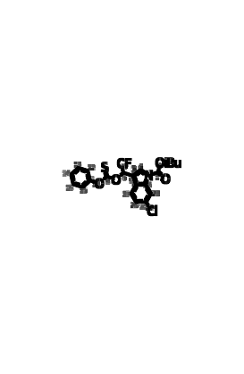 CC(C)COC(=O)n1cc(C(OC(=S)Oc2ccccc2)C(F)(F)F)c2ccc(Cl)cc21